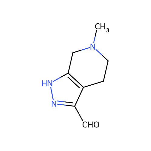 CN1CCc2c(C=O)n[nH]c2C1